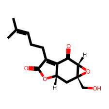 CC(C)=CCCC1=C2C(=O)[C@@H]3O[C@]3(CO)C[C@@H]2OC1=O